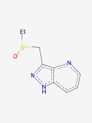 CC[S+]([O-])Cc1n[nH]c2cccnc12